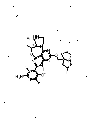 CC[C@@H]1NCCN2c3nc(OC[C@@]45CCCN4C[C@H](F)C5)nc4c(F)c(-c5c(F)c(N)nc(C)c5C(F)(F)F)nc(c34)O[C@@H](C)[C@H]12